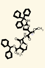 CO/N=C(/C(=O)NC1C(=O)N2C(C(=O)OC(c3ccccc3)c3ccccc3)=C(C)CSC12)c1csc(NC(c2ccccc2)(c2ccccc2)c2ccccc2)n1